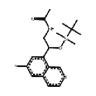 CC(=O)NCC(O[Si](C)(C)C(C)(C)C)c1cc(F)cc2ccncc12